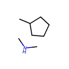 CC1CCCC1.CNC